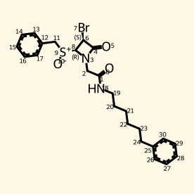 O=C(CN1C(=O)[C@H](Br)[C@H]1[S+]([O-])Cc1ccccc1)NCCCCCCc1ccccc1